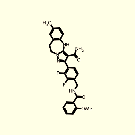 COc1ccccc1C(=O)NCc1ccc(-c2nn3c(c2C(N)=O)Nc2ccc(C)cc2CC3)c(F)c1F